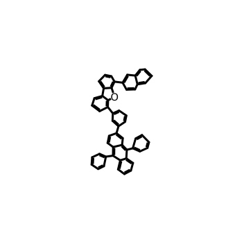 c1ccc(-c2c3ccccc3c(-c3ccccc3)c3cc(-c4cccc(-c5cccc6c5oc5c(-c7ccc8ccccc8c7)cccc56)c4)ccc23)cc1